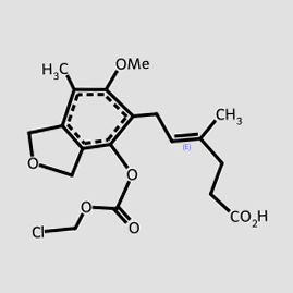 COc1c(C)c2c(c(OC(=O)OCCl)c1C/C=C(\C)CCC(=O)O)COC2